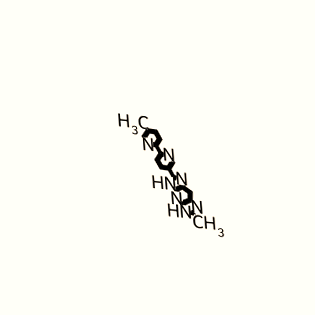 Cc1ccc(-c2ccc(-c3nc4cc5nc(C)[nH]c5nc4[nH]3)cn2)nc1